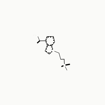 COC(=O)c1cccc2c1ccn2CCCS(C)(=O)=O